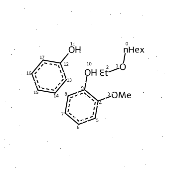 CCCCCCOCC.COc1ccccc1O.Oc1ccccc1